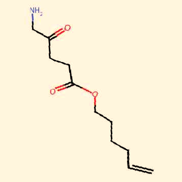 C=CCCCCOC(=O)CCC(=O)CN